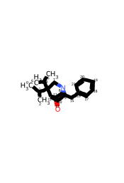 CC(C)C1(C(C)C)CN2CCC1C(=O)C2Cc1ccccc1